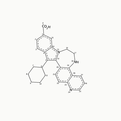 O=C(O)c1ccc2c(C3CCCCC3)c3n(c2c1)CCNc1c-3ccc2ncccc12